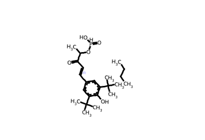 CC(O[PH](=O)O)C(=O)/C=C/c1cc(C(C)(C)C)c(O)c(C(C)(C)C)c1.CCCC